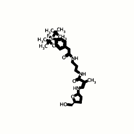 C/C(=C/NC1CC[C@@H](CO)O1)C(=O)NCCCNC(=O)Cc1ccc([Si](F)(C(C)(C)C)C(C)(C)C)cc1